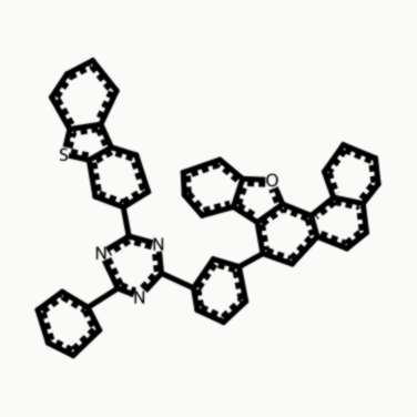 c1ccc(-c2nc(-c3cccc(-c4cc5ccc6ccccc6c5c5oc6ccccc6c45)c3)nc(-c3ccc4c(c3)sc3ccccc34)n2)cc1